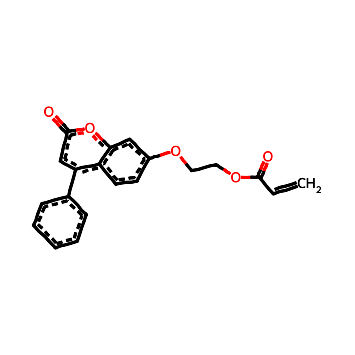 C=CC(=O)OCCOc1ccc2c(-c3ccccc3)cc(=O)oc2c1